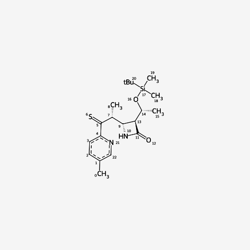 Cc1ccc(C(=S)[C@H](C)[C@H]2NC(=O)[C@@H]2[C@@H](C)O[Si](C)(C)C(C)(C)C)nc1